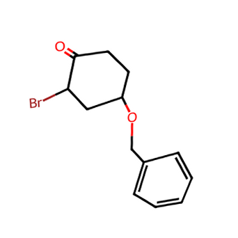 O=C1CCC(OCc2ccccc2)CC1Br